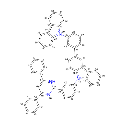 C1=C(c2ccccc2)NC(c2cccc(-n3c4ccccc4c4cc(-c5cccc(-n6c7ccccc7c7ccccc76)c5)ccc43)c2)N=C1c1ccccc1